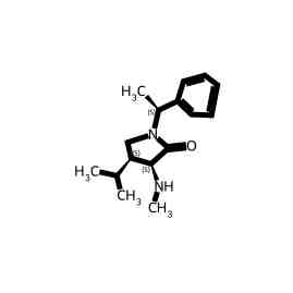 CN[C@@H]1C(=O)N([C@@H](C)c2ccccc2)C[C@@H]1C(C)C